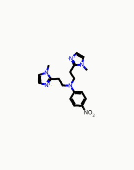 CN1C=C[N+]=C1CCN(CCC1=[N+]C=CN1C)c1ccc([N+](=O)[O-])cc1